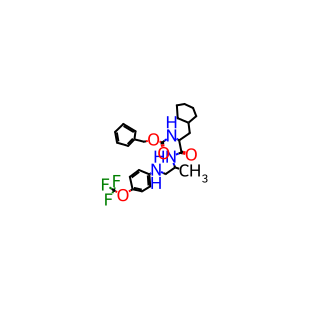 CC(CNc1ccc(OC(F)(F)F)cc1)NC(=O)C(CC1CCCCC1)NC(=O)OCc1ccccc1